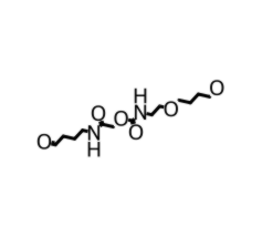 O=CCCCNC(=O)COC(=O)NCCOCCCC=O